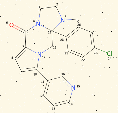 CN1CCN2C(=O)c3ccc(-c4cccnc4)n3CC12c1ccc(Cl)cc1